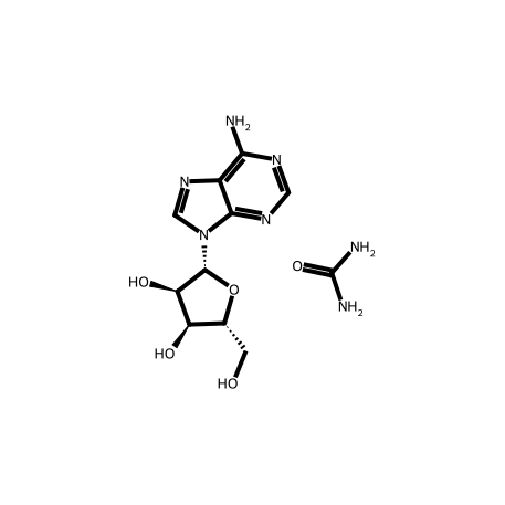 NC(N)=O.Nc1ncnc2c1ncn2[C@@H]1O[C@H](CO)[C@@H](O)[C@H]1O